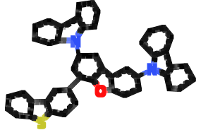 c1ccc2c(c1)sc1ccc(-c3cc(-n4c5ccccc5c5ccccc54)cc4c3oc3ccc(-n5c6ccccc6c6ccccc65)cc34)cc12